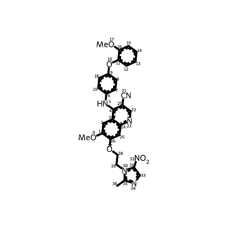 COc1cc2c(Nc3ccc(Oc4ccccc4OC)cc3)c(C#N)cnc2cc1OCCn1c([N+](=O)[O-])cnc1C